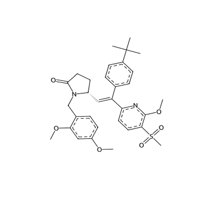 COc1ccc(CN2C(=O)CC[C@@H]2/C=C(\c2ccc(C(C)(C)C)cc2)c2ccc(S(C)(=O)=O)c(OC)n2)c(OC)c1